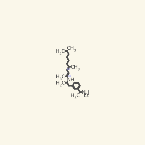 C=C(C)CCCC/C(C)=C/C=C(\C)NC(=C)Cc1cccc(C(C)NCC)c1